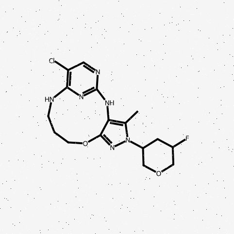 Cc1c2c(nn1C1COCC(F)C1)OCCCNc1nc(ncc1Cl)N2